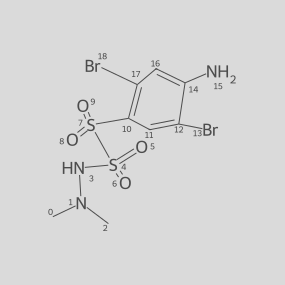 CN(C)NS(=O)(=O)S(=O)(=O)c1cc(Br)c(N)cc1Br